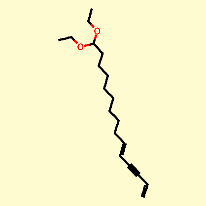 C=CC#C/C=C/CCCCCCCCC(OCC)OCC